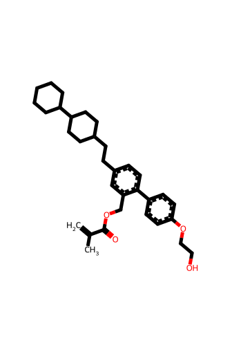 C=C(C)C(=O)OCc1cc(CCC2CCC(C3CCCCC3)CC2)ccc1-c1ccc(OCCO)cc1